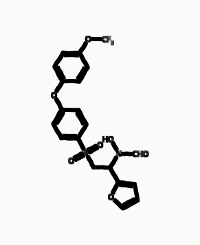 O=CN(O)C(CS(=O)(=O)c1ccc(Oc2ccc(OC(F)(F)F)cc2)cc1)c1ccco1